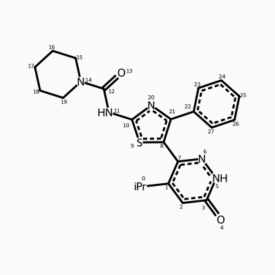 CC(C)c1cc(=O)[nH]nc1-c1sc(NC(=O)N2CCCCC2)nc1-c1ccccc1